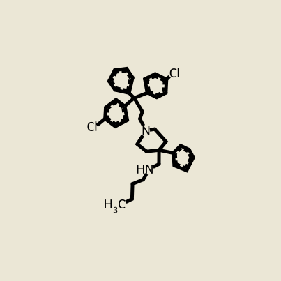 CCCCNCC1(c2ccccc2)CCN(CCC(c2ccccc2)(c2ccc(Cl)cc2)c2ccc(Cl)cc2)CC1